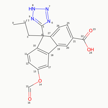 CC(C)CC1(c2nn[nH]n2)c2ccc(OC=O)cc2-c2cc(C(=O)O)ccc21